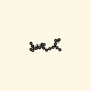 CC1(C)c2cc(N(c3ccc(-c4ccccc4)cc3)c3cccc4ccccc34)ccc2-c2ccc(N(c3ccc(-c4cccc(-c5ccc(-c6ccc(N(c7ccc(-c8ccccc8)cc7)c7ccc(-c8cccc9c8oc8ccccc89)cc7)cc6)cc5)c4)cc3)c3cccc4ccccc34)cc21